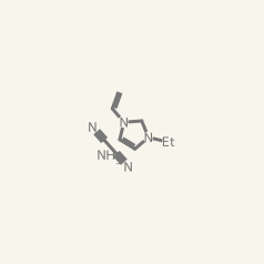 C=CN1C=CN(CC)C1.N.N#CC#N